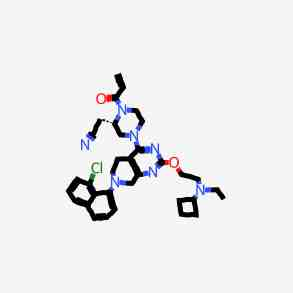 C=CC(=O)N1CCN(c2nc(OCCN(CC)C3CCC3)nc3c2CCN(c2cccc4cccc(Cl)c24)C3)C[C@@H]1CC#N